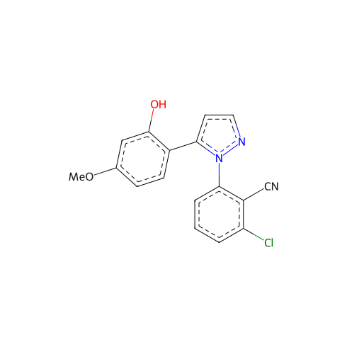 COc1ccc(-c2ccnn2-c2cccc(Cl)c2C#N)c(O)c1